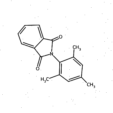 Cc1cc(C)c(N2C(=O)c3ccccc3C2=O)c(C)c1